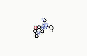 CC1\C=C/C=C\C(c2nc(-c3cccnc3)nc(-n3c4ccc5oc6ccc7c8ccccc8n8c9cccc3c9c4c5c6c78)n2)=C\C1